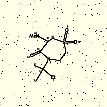 CCC(C)(C)N1CCS(=O)(=O)CC(NC)C1=O